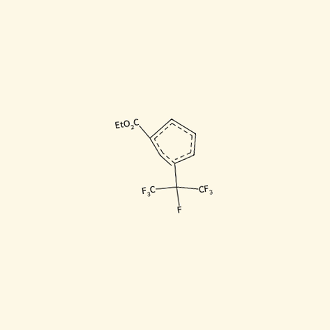 CCOC(=O)c1cccc(C(F)(C(F)(F)F)C(F)(F)F)c1